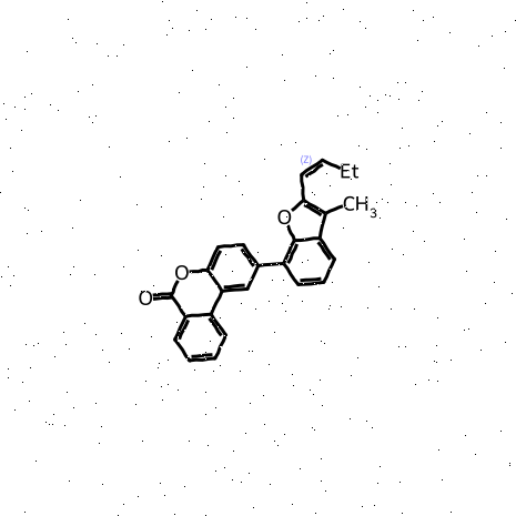 CC/C=C\c1oc2c(-c3ccc4oc(=O)c5ccccc5c4c3)cccc2c1C